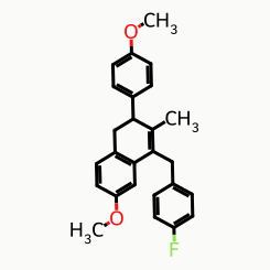 COc1ccc(C2Cc3ccc(OC)cc3C(Cc3ccc(F)cc3)=C2C)cc1